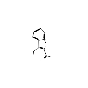 NCc1c(C(N)=O)[nH]c2ccccc12